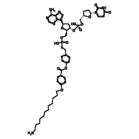 NCCCCCCCCCCCCOc1ccc(C(=O)Oc2ccc(CSP(=O)(O)OC[C@H]3O[C@@H](n4cnc5c(N)ncnc54)C[C@@H]3OP(=O)(O)OC[C@@H]3CC[C@H](n4ccc(=O)[nH]c4=O)O3)cc2)cc1